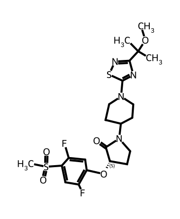 COC(C)(C)c1nsc(N2CCC(N3CC[C@H](Oc4cc(F)c(S(C)(=O)=O)cc4F)C3=O)CC2)n1